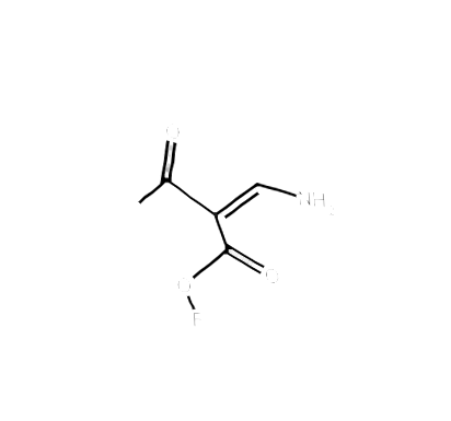 CC(=O)C(=CN)C(=O)OF